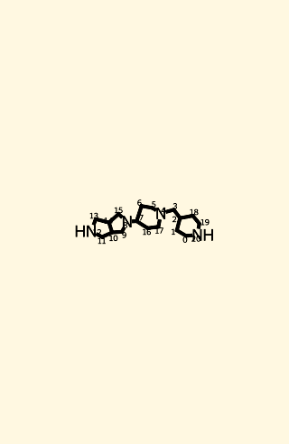 C1CC(CN2CCC(N3CC4CNCC4C3)CC2)CCN1